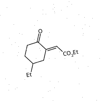 CCOC(=O)C=C1CC(CC)CCC1=O